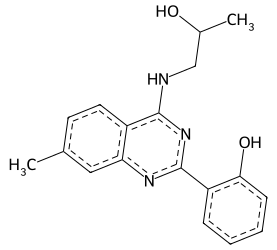 Cc1ccc2c(NCC(C)O)nc(-c3ccccc3O)nc2c1